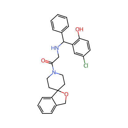 O=C(CNC(c1ccccc1)c1cc(Cl)ccc1O)N1CCC2(CC1)OCc1ccccc12